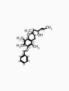 CC=C[C@@H](O)C[C@]1(C)CCc2c(C)c(OCc3ccccc3)c(C)c(C)c2O1